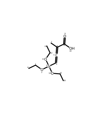 CCO[Si](C=C=C(C)C(=O)O)(OCC)OCC